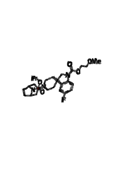 COCCOC(=O)N1CC2(CCN(C3CC4CCC(C3)N4C(=O)OC(C)C)CC2)c2cc(F)ccc21